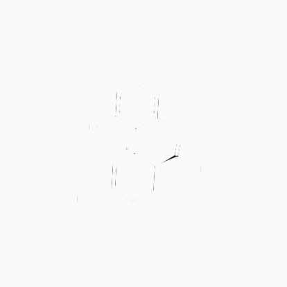 C=C(C)[C@H]1CCC(C)=C[C@@H]1c1c(O)cccc1O